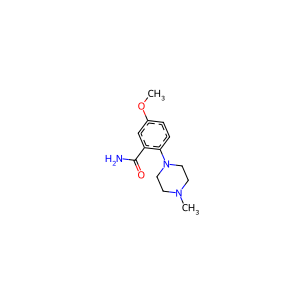 COc1ccc(N2CCN(C)CC2)c(C(N)=O)c1